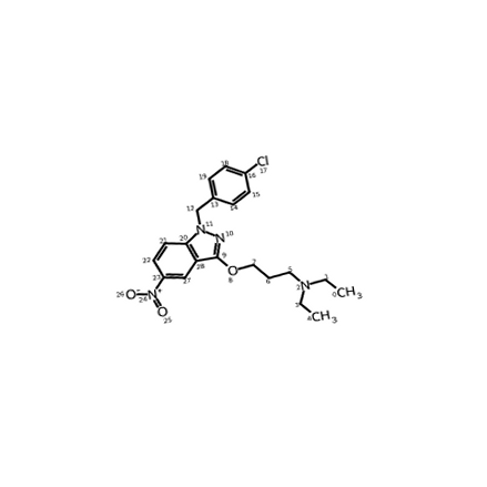 CCN(CC)CCCOc1nn(Cc2ccc(Cl)cc2)c2ccc([N+](=O)[O-])cc12